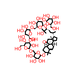 CC(CC[C@@H](O[C@@H]1O[C@@H](CO[C@@H]2O[C@@H](CO)[C@@H](O)[C@H](O)C2O)[C@@H](O)[C@H](O)C1O[C@@H]1O[C@H](CO)[C@@H](O)[C@H](O)C1O)C(C)(C)O)[C@@H]1CC[C@]2(C)[C@@H]3CC=C4[C@@H](CC[C@H](O[C@@H]5OC(CO[C@@H]6O[C@@H](CO)[C@@H](O)[C@H](O)C6O)[C@@H](O)[C@H](O)[C@@H]5O)C4(C)C)[C@@]3(C)C(=O)C[C@]12C